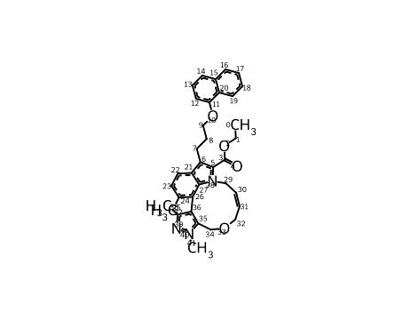 CCOC(=O)c1c(CCCOc2cccc3ccccc23)c2ccc(C)c3c2n1CC=CCOCc1c-3c(C)nn1C